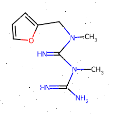 CN(Cc1ccco1)C(=N)N(C)C(=N)N